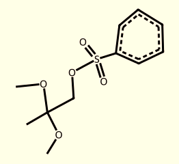 COC(C)(COS(=O)(=O)c1ccccc1)OC